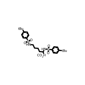 CC(C)(C)c1ccc(S(=O)(=O)NCCCCC(NS(=O)(=O)c2ccc(C(C)(C)C)cc2)C(=O)O)cc1